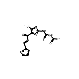 CCC(=O)NC(=S)Nc1nc(C)c(C(=O)C=Cc2ccco2)s1